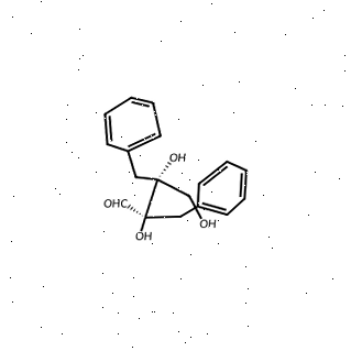 O=C[C@@](O)(Cc1ccccc1)[C@](O)(CO)Cc1ccccc1